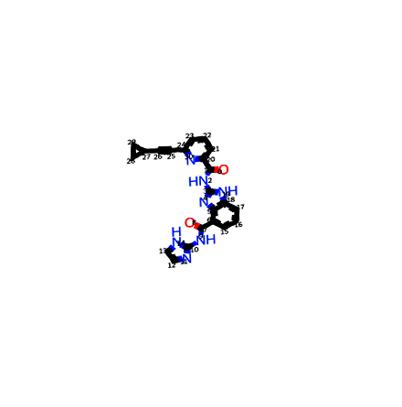 O=C(Nc1nc2c(C(=O)Nc3ncc[nH]3)cccc2[nH]1)c1cccc(C#CC2CC2)n1